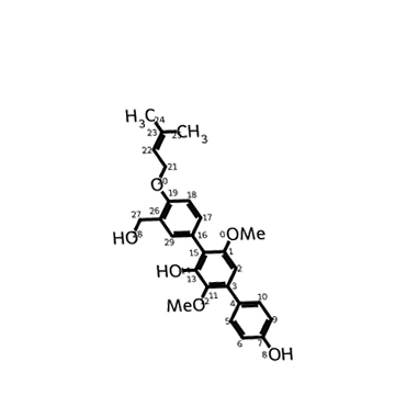 COc1cc(-c2ccc(O)cc2)c(OC)c(O)c1-c1ccc(OCC=C(C)C)c(CO)c1